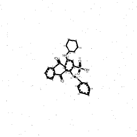 O=C1c2ccccc2C(=O)c2c(N=Nc3ccccc3)c(S(=O)(=O)O)cc(NC3CCCCC3)c21